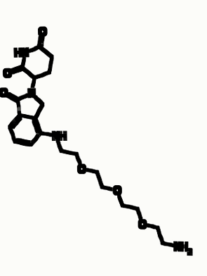 NCCOCCOCCOCCNc1cccc2c1CN(C1CCC(=O)NC1=O)C2=O